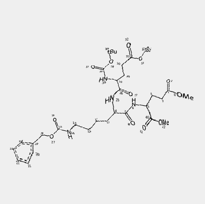 COC(=O)CCC(NC(=O)C(CCCCNC(=O)OCc1ccccc1)NC(=O)C(CCC(=O)OC(C)(C)C)NC(=O)OC(C)(C)C)C(=O)OC